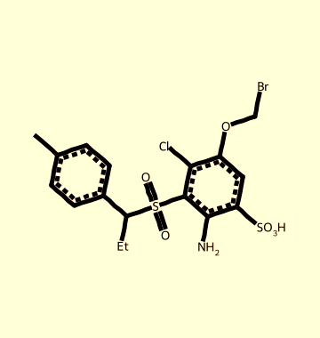 CCC(c1ccc(C)cc1)S(=O)(=O)c1c(N)c(S(=O)(=O)O)cc(OCBr)c1Cl